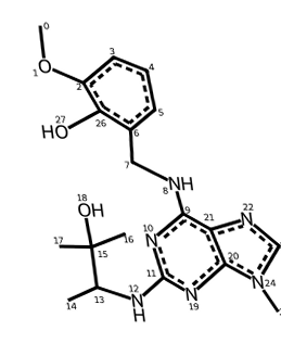 COc1cccc(CNc2nc(NC(C)C(C)(C)O)nc3c2ncn3C)c1O